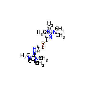 CN(C)C(=NCCSSCCNC(N(C)C)=[N+](C)C)N(C)C